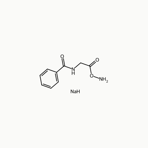 NOC(=O)CNC(=O)c1ccccc1.[NaH]